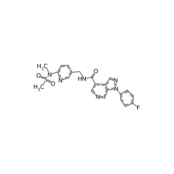 CN(c1ccc(CNC(=O)c2cncc3c2cnn3-c2ccc(F)cc2)cn1)S(C)(=O)=O